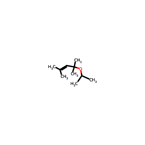 CC(C)=CC(C)(C)OC(C)C